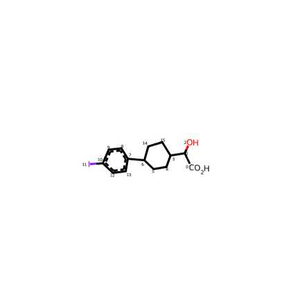 O=C(O)C(O)C1CCC(c2ccc(I)cc2)CC1